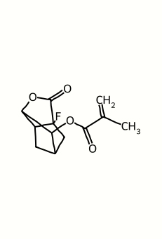 C=C(C)C(=O)OC1C2CC3C1OC(=O)C3(F)C2